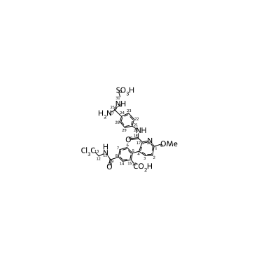 COc1ccc(-c2ccc(C(=O)NCC(Cl)(Cl)Cl)cc2C(=O)O)c(C(=O)Nc2ccc(C(=N)N)cc2)n1.CS(=O)(=O)O